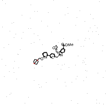 COC(=O)c1ccc2nc(Cc3ccc(-c4cccc(OCC56CCC(CC5)CC6)n4)cc3)n(C[C@@H]3CCO3)c2c1